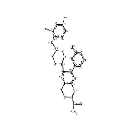 CC(=O)N1CCc2nc(N3CCC(Oc4ccc(F)cc4F)CC3)c(-c3cncc(Cl)n3)nc2C1